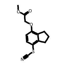 COC(=O)COc1ccc(SC#N)c2c1CCC2